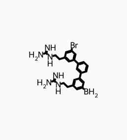 Bc1cc(CCNC(=N)N)cc(-c2cccc(-c3cc(Br)cc(CCNC(=N)N)c3)c2)c1